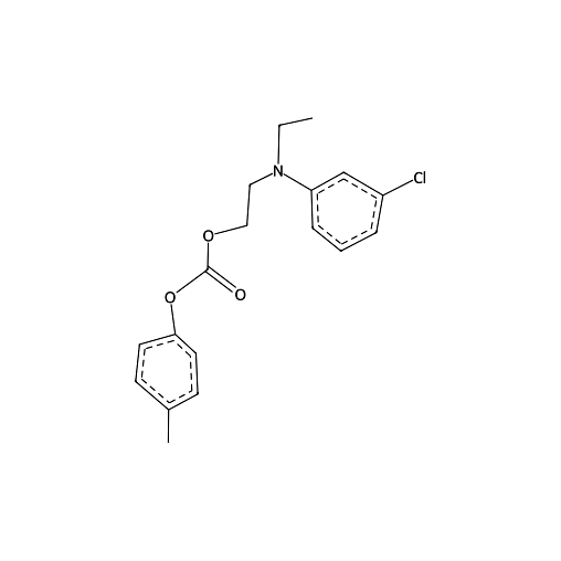 CCN(CCOC(=O)Oc1ccc(C)cc1)c1cccc(Cl)c1